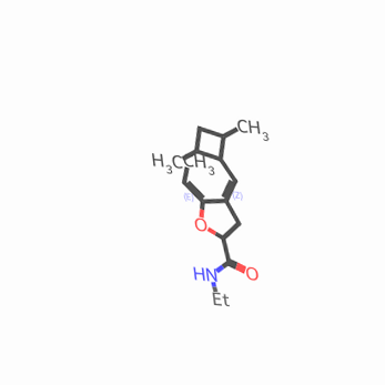 C/C=C1/OC(C(=O)NCC)C/C1=C/C1C(C)CC1C